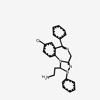 NCCC1N(c2ccccc2)N=C2CN=C(c3ccccc3)c3cc(Cl)ccc3N21